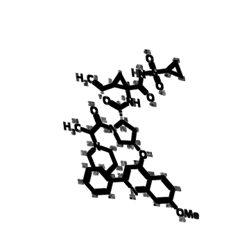 C=CC1CC1(NC(=O)[C@@H]1C[C@@H](Oc2cc(-c3ccccc3)nc3cc(OC)ccc23)CN1C(=O)C(C)N1CCCCC1)C(=O)NS(=O)(=O)C1CC1